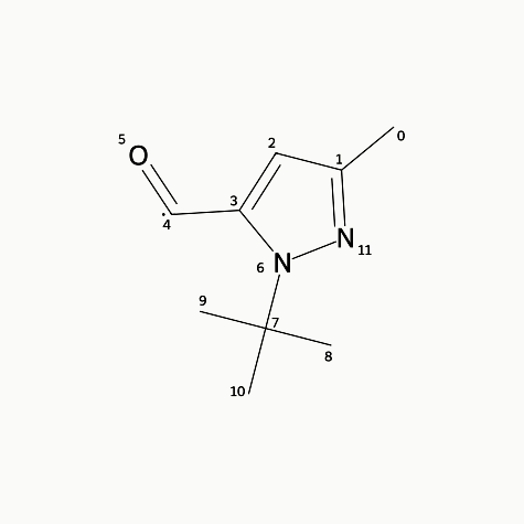 Cc1cc([C]=O)n(C(C)(C)C)n1